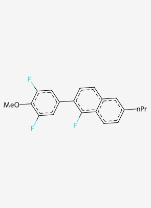 CCCc1ccc2c(F)c(-c3cc(F)c(OC)c(F)c3)ccc2c1